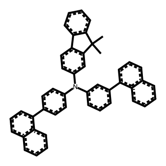 CC1(C)c2ccccc2-c2ccc(N(c3ccc(-c4cccc5ccccc45)cc3)c3cccc(-c4cccc5ccccc45)c3)cc21